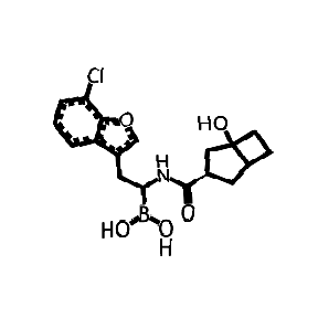 O=C(NC(Cc1coc2c(Cl)cccc12)B(O)O)[C@@H]1CC2CCC2(O)C1